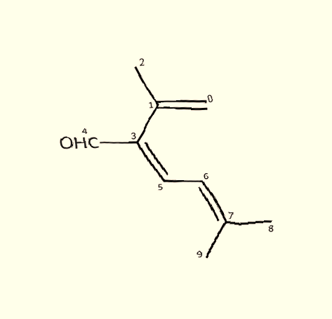 C=C(C)/C(C=O)=C\C=C(C)C